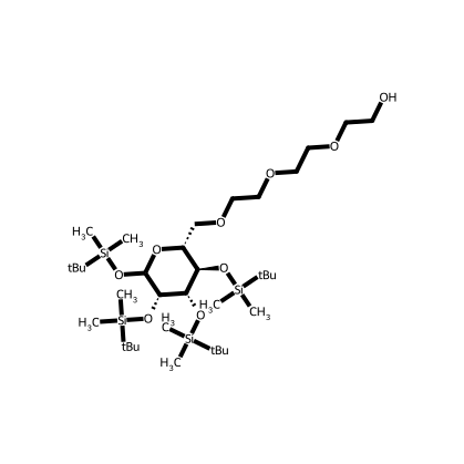 CC(C)(C)[Si](C)(C)OC1O[C@H](COCCOCCOCCO)[C@@H](O[Si](C)(C)C(C)(C)C)[C@H](O[Si](C)(C)C(C)(C)C)[C@@H]1O[Si](C)(C)C(C)(C)C